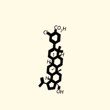 C=C(C)[C@@H]1CC[C@]2(CO)CC[C@]3(C)C(CC[C@@H]4[C@@]5(C)CC=C(c6ccc(C(=O)O)c(Cl)c6)C(C)(C)[C@@H]5CC[C@]43C)[C@@H]12